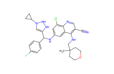 CC1(CNc2c(C#N)cnc3c(Cl)cc(NC(C4=CN(C5CC5)NN4)c4ccc(F)cc4)cc23)CCOCC1